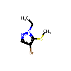 CCn1n[c]c(Br)c1SC